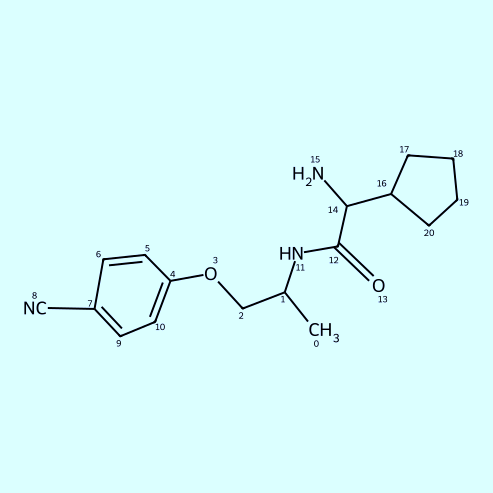 CC(COc1ccc(C#N)cc1)NC(=O)C(N)C1CCCC1